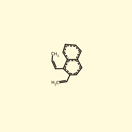 C=Cc1ccc2ccccc2c1/C=C\C